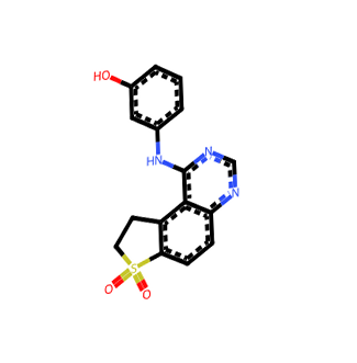 O=S1(=O)CCc2c1ccc1ncnc(Nc3cccc(O)c3)c21